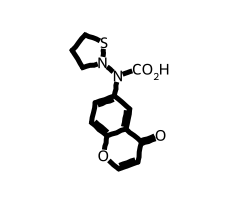 O=C(O)N(c1ccc2occc(=O)c2c1)N1CCCS1